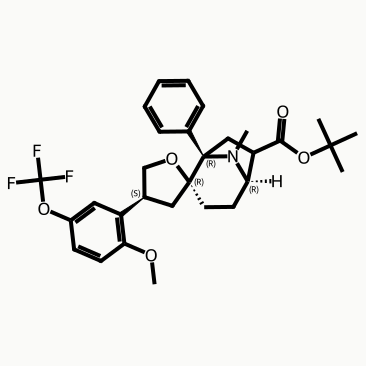 COc1ccc(OC(F)(F)F)cc1[C@H]1CO[C@]2(CC[C@@H]3C(C(=O)OC(C)(C)C)C[C@]2(c2ccccc2)N3C)C1